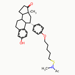 CC(=O)N(C)SCCCCCOc1ccc([C@H]2C[C@]3(C)C(=O)CCC3C3CCc4cc(O)ccc4C32)cc1